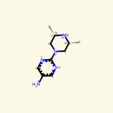 C[C@@H]1CN(c2ncc(N)cn2)C[C@H](C)N1